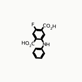 O=C(O)c1cc(Nc2ccccc2)c(C(=O)O)cc1F